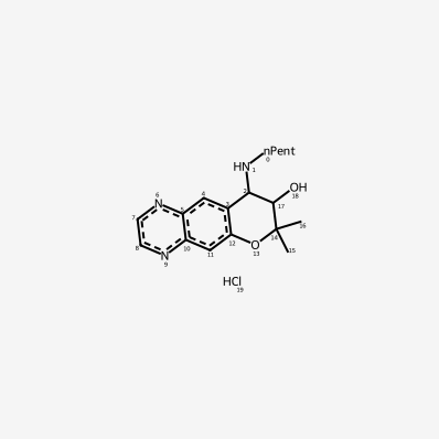 CCCCCNC1c2cc3nccnc3cc2OC(C)(C)C1O.Cl